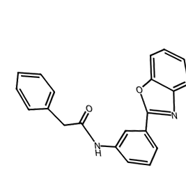 O=C(Cc1ccccc1)Nc1cccc(-c2nc3ccccc3o2)c1